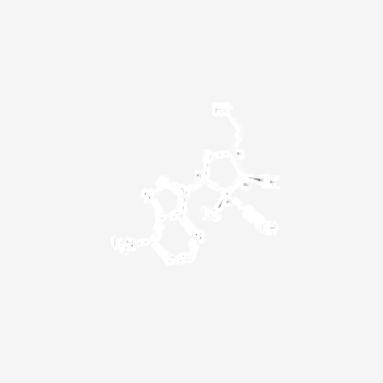 C#C[C@@]1(O)[C@H](O)[C@@H](CO)O[C@H]1n1cnc2c(N)ccnc21